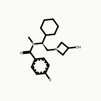 CN(C(=O)c1ccc(F)cc1)[C@H](CN1CC(O)C1)C1CCCCC1